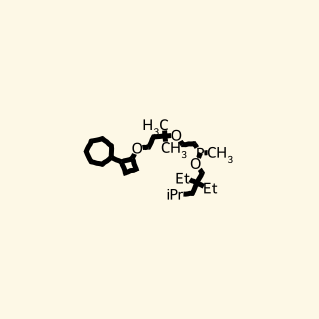 CCC(CC)(COP(C)CCOC(C)(C)CCOC1CCC1C1CCCCCC1)CC(C)C